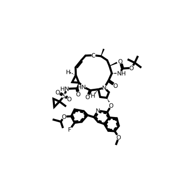 COc1ccc2c(O[C@@H]3C[C@H]4C(=O)N[C@]5(C(=O)NS(=O)(=O)C6(C)CC6)C[C@H]5/C=C\CC[C@@H](C)C[C@@H](C)[C@H](NC(=O)OC(C)(C)C)C(=O)N4C3)nc(-c3ccc(OC(C)C)c(F)c3)cc2c1